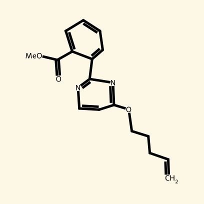 C=CCCCOc1ccnc(-c2ccccc2C(=O)OC)n1